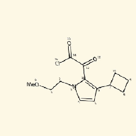 COCCn1ccc(C2CCC2)c1C(=O)C(=O)Cl